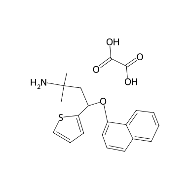 CC(C)(N)CC(Oc1cccc2ccccc12)c1cccs1.O=C(O)C(=O)O